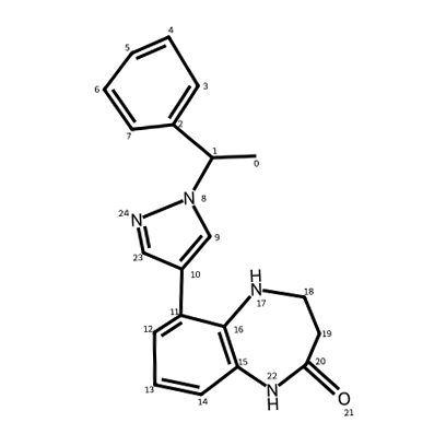 CC(c1ccccc1)n1cc(-c2cccc3c2NCCC(=O)N3)cn1